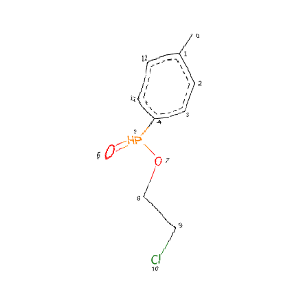 Cc1ccc([PH](=O)OCCCl)cc1